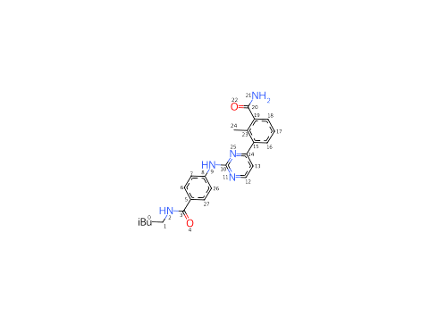 CCC(C)CNC(=O)c1ccc(Nc2nccc(-c3cccc(C(N)=O)c3C)n2)cc1